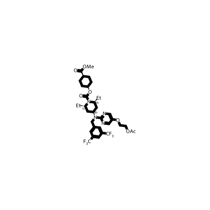 CC[C@@H]1C[C@H](N(Cc2cc(C(F)(F)F)cc(C(F)(F)F)c2)c2ncc(OCCOC(C)=O)cn2)C[C@H](CC)N1C(=O)O[C@H]1CC[C@H](C(=O)OC)CC1